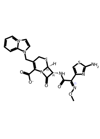 CO/N=C(\C(=O)N[C@@H]1C(=O)N2C(C(=O)[O-])=C(Cn3cc[n+]4ccccc34)CS[C@@H]12)c1csc(N)n1